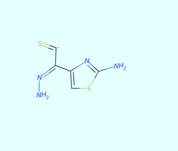 N/N=C(/[C]=S)c1csc(N)n1